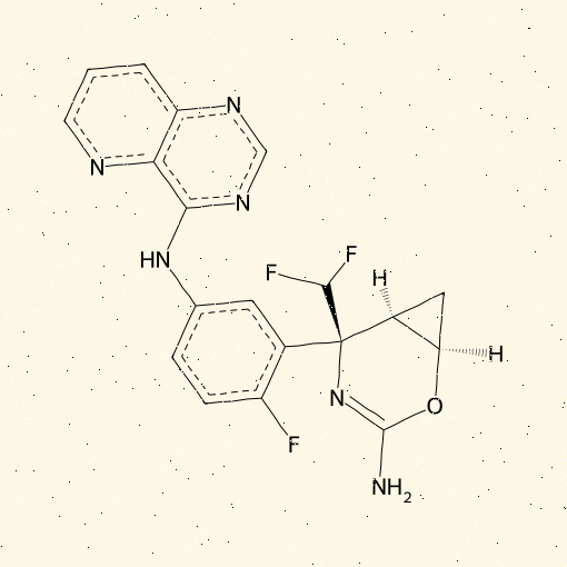 NC1=N[C@@](c2cc(Nc3ncnc4cccnc34)ccc2F)(C(F)F)[C@H]2C[C@H]2O1